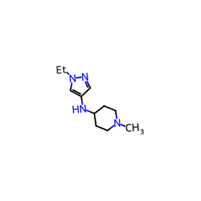 CCn1cc(NC2CCN(C)CC2)cn1